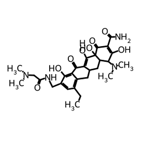 CCc1cc(CNC(=O)CN(C)C)c(O)c2c1CC1CC3C(N(C)C)C(O)=C(C(N)=O)C(=O)C3(O)C(O)=C1C2=O